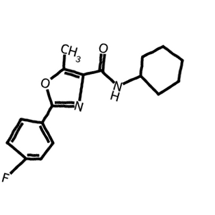 Cc1oc(-c2ccc(F)cc2)nc1C(=O)NC1CCCCC1